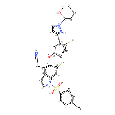 Cc1ccc(S(=O)(=O)n2ccc3c(CC#N)c(Oc4ccc(F)c(-c5ccn(C6CCCCO6)n5)c4)c(F)cc32)cc1